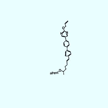 C=CCOc1ncc(-c2ccc(-c3ccc(C=CCCCC(C)OCCCCC)cc3)cc2)cn1